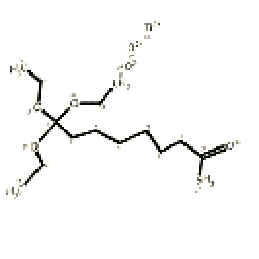 CCOC(CCCCCCC(=O)[SiH3])(OCC)OCC.[O-2].[O-2].[Ti+4]